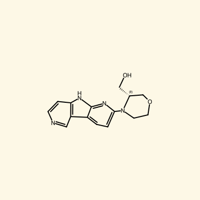 OC[C@@H]1COCCN1c1ccc2c(n1)[nH]c1ccncc12